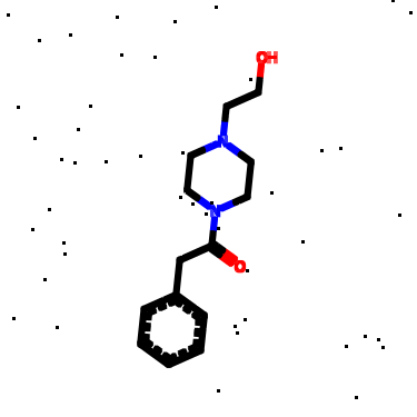 O=C(Cc1ccccc1)N1CCN(CCO)CC1